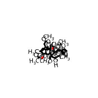 CCC12OC3(C)OC14C(C(C)(C)C(OC(C)=O)c1ccoc1)/C(=C(/O)C(C)C)C(=O)OC4C1(OC(C)=O)C(OC(C)=O)C4(C)CC1(O3)C2(C)C4CC(=O)OC